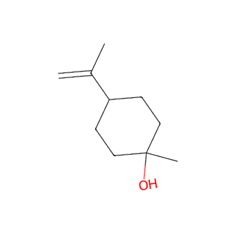 C=C(C)C1CCC(C)(O)CC1